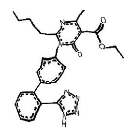 CCCCc1nc(C)c(C(=O)OCC)c(=O)n1-c1ccc(-c2ccccc2-c2nnn[nH]2)cc1